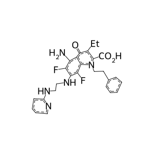 CCc1c(C(=O)O)n(CCc2ccccc2)c2c(F)c(NCCNc3ccccn3)c(F)c(N)c2c1=O